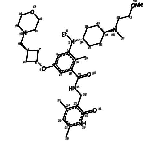 CCN(c1cc(O[C@H]2C[C@H](CN3CCOCC3)C2)cc(C(=O)NCc2c(C)cc(C)[nH]c2=O)c1C)[C@H]1CC[C@H](N(C)CCOC)CC1